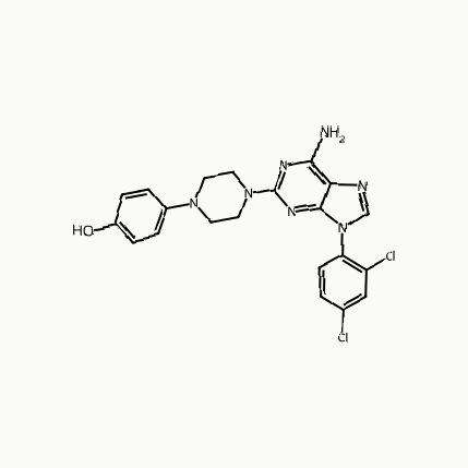 Nc1nc(N2CCN(c3ccc(O)cc3)CC2)nc2c1ncn2-c1ccc(Cl)cc1Cl